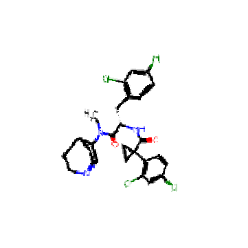 CN(C(=O)[C@H](Cc1ccc(Cl)cc1Cl)NC(=O)C1(c2ccc(Cl)cc2Cl)CC1)C1CN2CCC1CC2